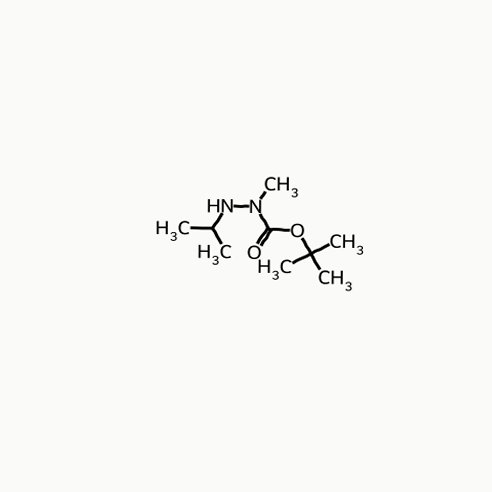 CC(C)NN(C)C(=O)OC(C)(C)C